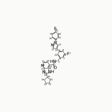 O=C(NCc1cc(F)cc(-c2cnn(-c3ccc(F)cc3)c2)c1)c1ccnc2nc(C3CCCC3)[nH]c12